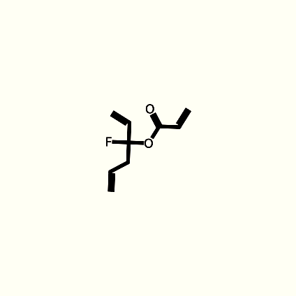 C=CCC(F)(C=C)OC(=O)C=C